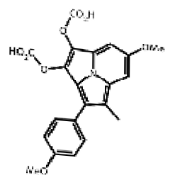 COc1ccc(-c2c(C)c3cc(OC)cc4c(OC(=O)O)c(OC(=O)O)c2n34)cc1